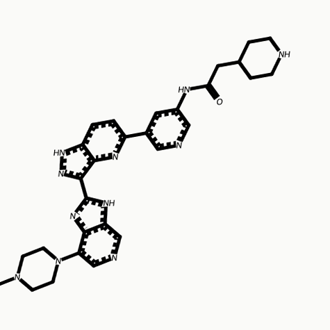 CN1CCN(c2cncc3[nH]c(-c4n[nH]c5ccc(-c6cncc(NC(=O)CC7CCNCC7)c6)nc45)nc23)CC1